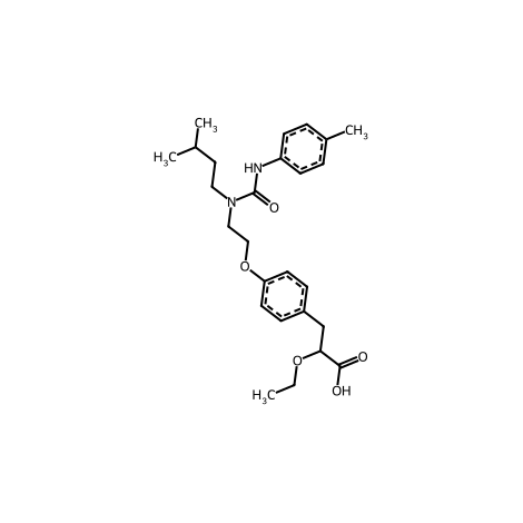 CCOC(Cc1ccc(OCCN(CCC(C)C)C(=O)Nc2ccc(C)cc2)cc1)C(=O)O